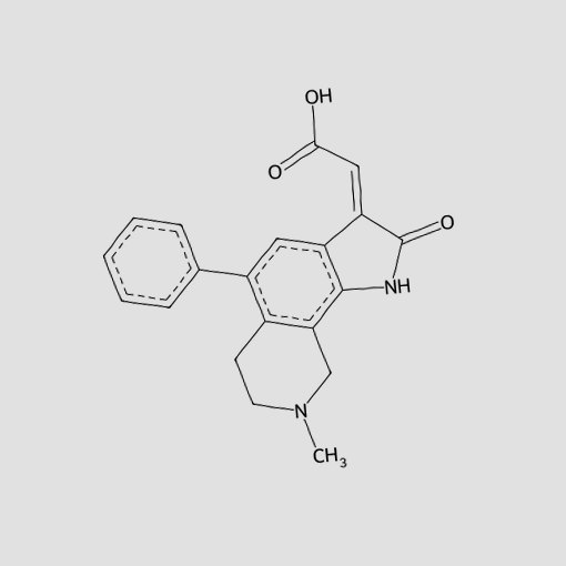 CN1CCc2c(-c3ccccc3)cc3c(c2C1)NC(=O)/C3=C/C(=O)O